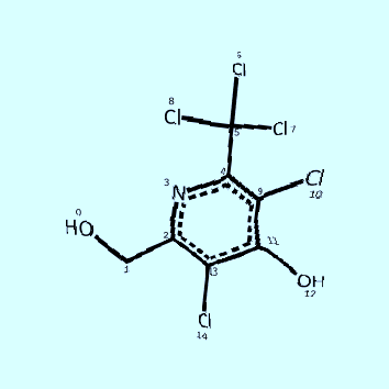 OCc1nc(C(Cl)(Cl)Cl)c(Cl)c(O)c1Cl